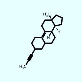 CC#CC1CCC2=C3CC[C@]4(C)CCC[C@H]4[C@@H]3CCC2C1